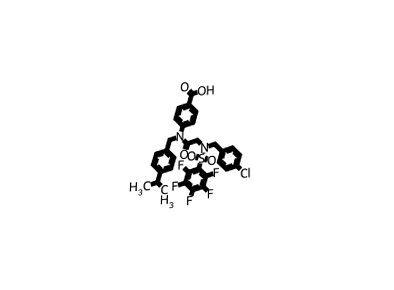 CC(C)c1ccc(CN(C(=O)CN(Cc2ccc(Cl)cc2)S(=O)(=O)c2c(F)c(F)c(F)c(F)c2F)c2ccc(C(=O)O)cc2)cc1